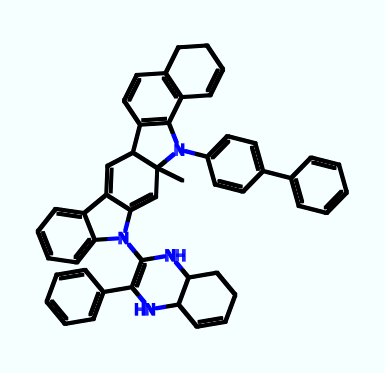 CC12C=c3c(c4ccccc4n3C3=C(c4ccccc4)NC4C=CCCC4N3)=CC1c1ccc3c(c1N2c1ccc(-c2ccccc2)cc1)C=CCC3